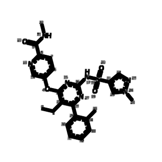 CCc1c(Oc2ccc(C(=O)NC)nc2)nc(NS(=O)(=O)c2cnn(C)c2)nc1-c1ccccc1C